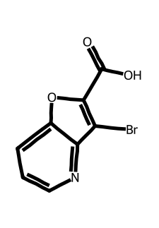 O=C(O)c1oc2cccnc2c1Br